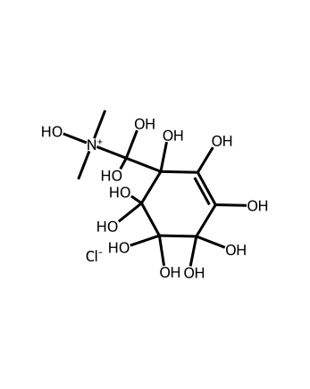 C[N+](C)(O)C(O)(O)C1(O)C(O)=C(O)C(O)(O)C(O)(O)C1(O)O.[Cl-]